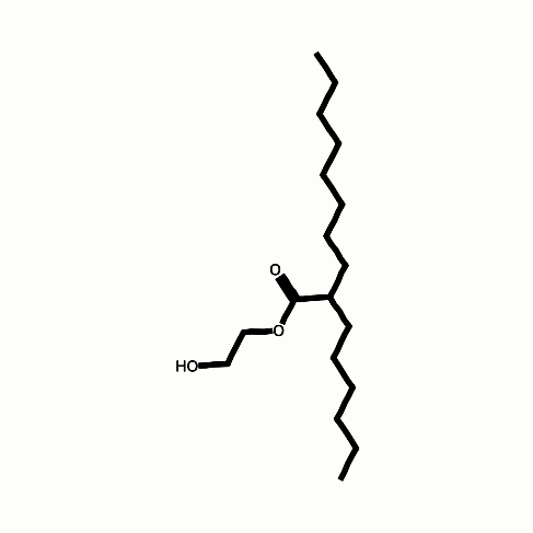 CCCCCCCCC(CCCCCC)C(=O)OCCO